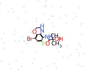 CC(C)(O)C(=O)Nc1c(F)cc(Br)c2c1NCCO2